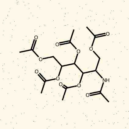 CC(=O)NC(COC(C)=O)C(OC(C)=O)C(OC(C)=O)C(COC(C)=O)OC(C)=O